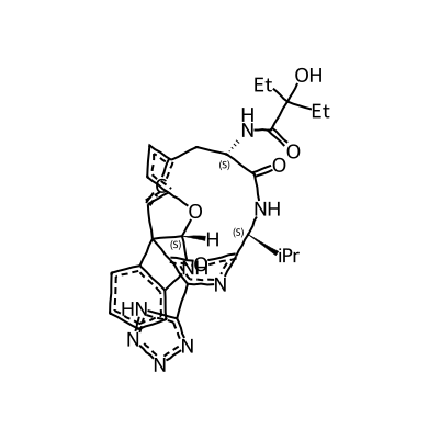 CCC(O)(CC)C(=O)N[C@H]1Cc2ccc3c(c2)C2(c4ccccc4N[C@H]2O3)c2oc(nc2-c2nnn[nH]2)[C@H](C(C)C)NC1=O